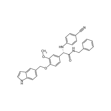 COc1cc([C@H](Nc2ccc(C#N)cc2)C(=O)NCc2ccccc2)ccc1OCc1ccc2[nH]ccc2c1